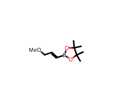 COCC=CB1OC(C)(C)C(C)(C)O1